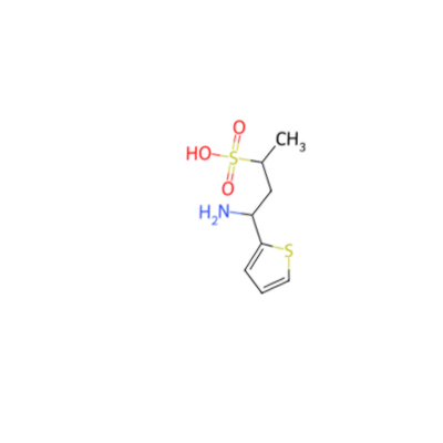 CC(CC(N)c1cccs1)S(=O)(=O)O